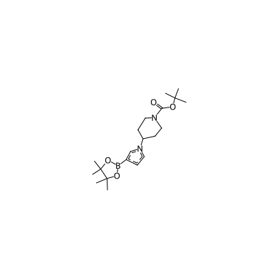 CC(C)(C)OC(=O)N1CCC(n2ccc(B3OC(C)(C)C(C)(C)O3)c2)CC1